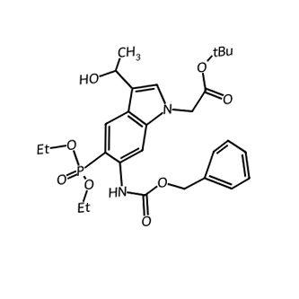 CCOP(=O)(OCC)c1cc2c(C(C)O)cn(CC(=O)OC(C)(C)C)c2cc1NC(=O)OCc1ccccc1